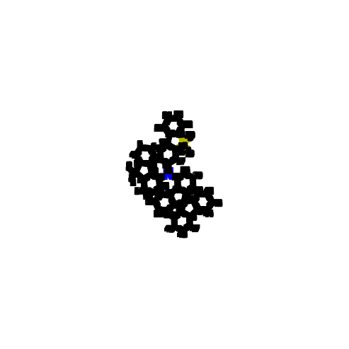 CC1(C)c2ccccc2-c2c(N(c3ccc4c(c3)S(C)(C)c3ccccc3-4)c3cccc4c3-c3ccccc3C43c4ccccc4-c4ccccc43)cccc21